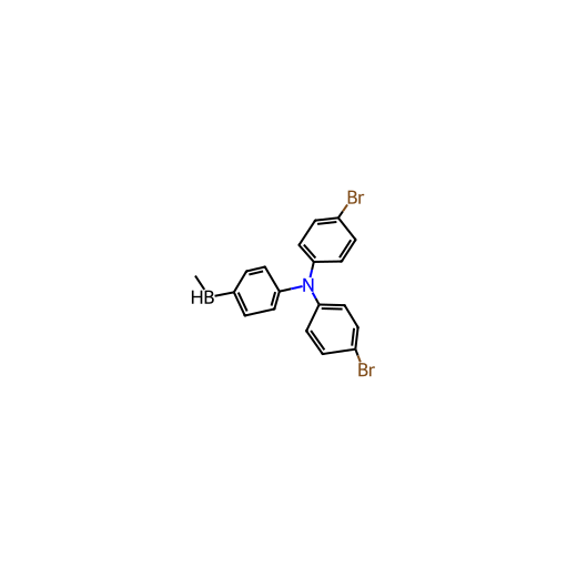 CBc1ccc(N(c2ccc(Br)cc2)c2ccc(Br)cc2)cc1